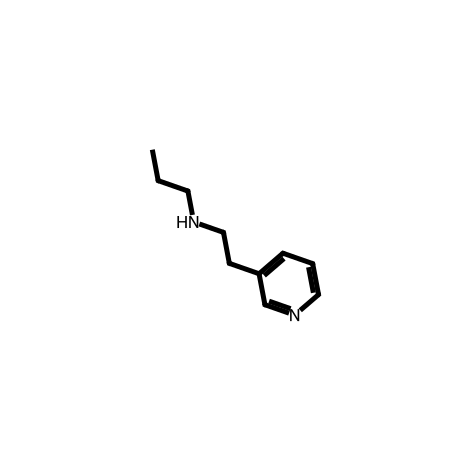 CCCNCCc1cccnc1